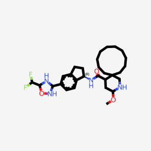 COC1CC(C(=O)N[C@@H]2CCc3cc(C4NOC(C(F)F)N4)ccc32)C2(CCCCCCCCCC2)CN1